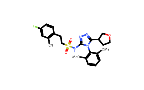 COc1cccc(OC)c1-n1c(NS(=O)(=O)CCc2ccc(F)cc2C#N)nnc1[C@@H]1CCOC1